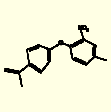 C=C(C)c1ccc(Oc2ccc(C)cc2[N+](=O)[O-])cc1